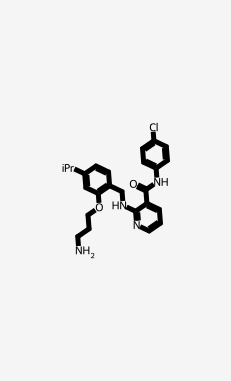 CC(C)c1ccc(CNc2ncccc2C(=O)Nc2ccc(Cl)cc2)c(OCCCN)c1